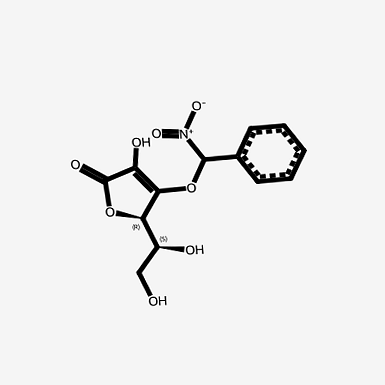 O=C1O[C@H]([C@@H](O)CO)C(OC(c2ccccc2)[N+](=O)[O-])=C1O